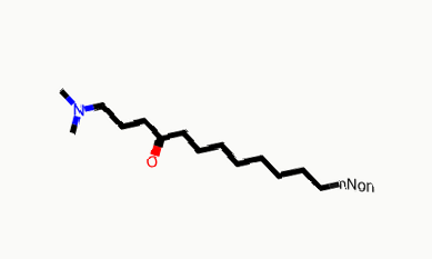 CCCCCCCCCCCCCCCCCC(=O)CCCN(C)C